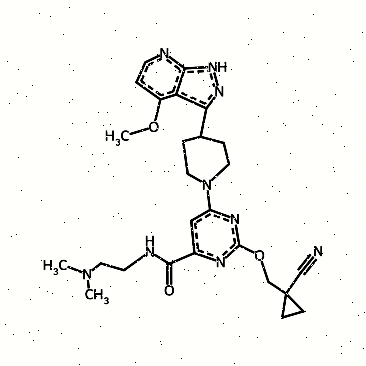 COc1ccnc2[nH]nc(C3CCN(c4cc(C(=O)NCCN(C)C)nc(OCC5(C#N)CC5)n4)CC3)c12